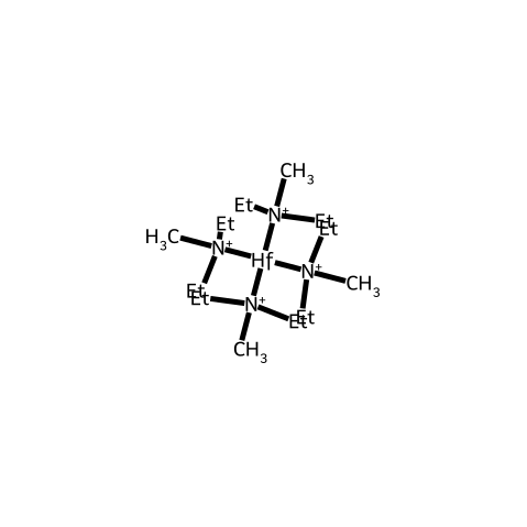 CC[N+](C)(CC)[Hf]([N+](C)(CC)CC)([N+](C)(CC)CC)[N+](C)(CC)CC